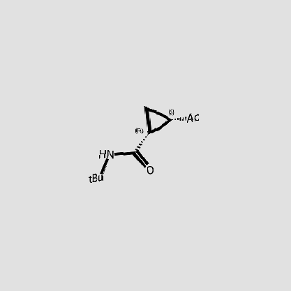 CC(=O)[C@H]1C[C@H]1C(=O)NC(C)(C)C